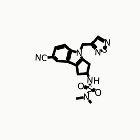 CN(C)S(=O)(=O)NC1Cc2c(n(Cc3cnsn3)c3ccc(C#N)cc23)C1